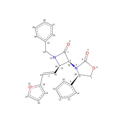 O=C1[C@@H](N2C(=O)OC[C@H]2c2ccccc2)[C@@H](/C=C/c2ccco2)N1Cc1ccccc1